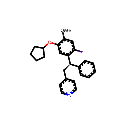 COc1cc(I)c([C@H](Cc2ccncc2)c2ccccc2)cc1OC1CCCC1